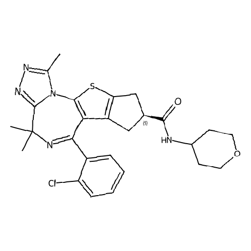 Cc1nnc2n1-c1sc3c(c1C(c1ccccc1Cl)=NC2(C)C)C[C@H](C(=O)NC1CCOCC1)C3